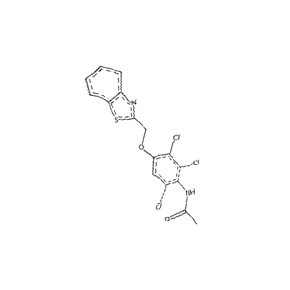 CC(=O)Nc1c(Cl)cc(OCc2nc3ccccc3s2)c(Cl)c1Cl